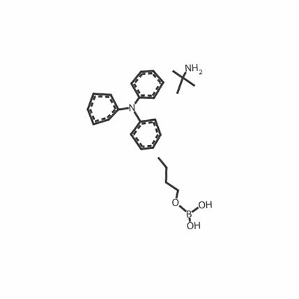 CC(C)(C)N.CCCCOB(O)O.c1ccc(N(c2ccccc2)c2ccccc2)cc1